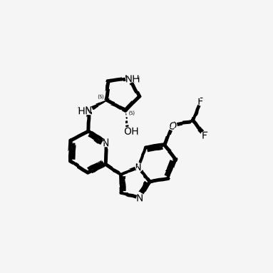 O[C@H]1CNC[C@@H]1Nc1cccc(-c2cnc3ccc(OC(F)F)cn23)n1